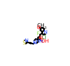 COc1ccc2ncc(Cl)c([C@H](F)CCC3(C(=O)NO)CCN(CC#Cc4cscn4)CC3)c2c1